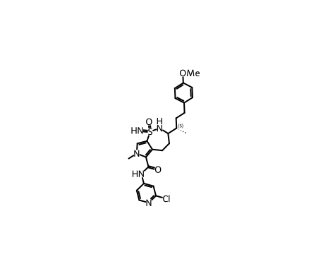 COc1ccc(CC[C@H](C)C2CCc3c(cn(C)c3C(=O)Nc3ccnc(Cl)c3)S(=N)(=O)N2)cc1